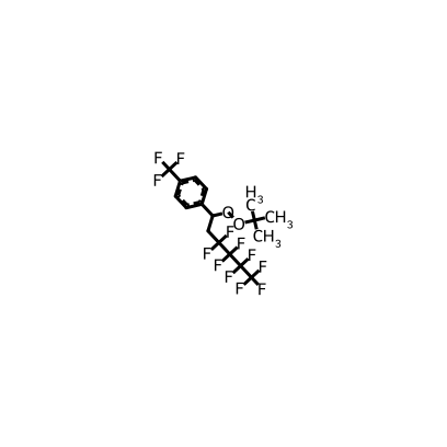 CC(C)(C)OOC(CC(F)(F)C(F)(F)C(F)(F)C(F)(F)F)c1ccc(C(F)(F)F)cc1